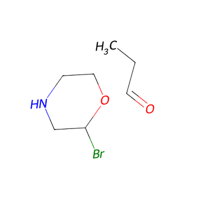 BrC1CNCCO1.CCC=O